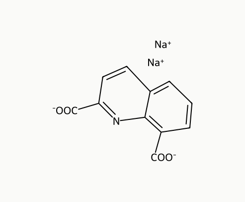 O=C([O-])c1ccc2cccc(C(=O)[O-])c2n1.[Na+].[Na+]